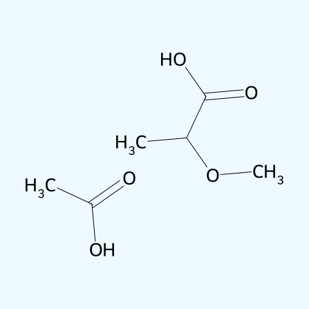 CC(=O)O.COC(C)C(=O)O